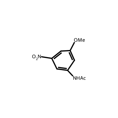 COc1cc(NC(C)=O)cc([N+](=O)[O-])c1